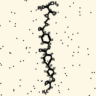 C=C(C)C(=O)OCCOC(=O)c1ccc(OC(=O)c2ccc(-c3ccc(OC(=O)CC)cc3)cc2)cc1